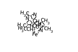 CC(=Nc1cc(C(C)(C)C)cc(C(C)(C)C)c1)c1cccnc1.Cc1cc(C)c(N=C[CH2][Fe])c(C)c1